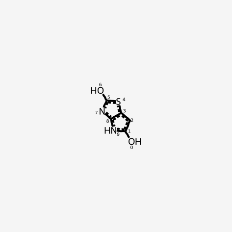 Oc1cc2sc(O)nc2[nH]1